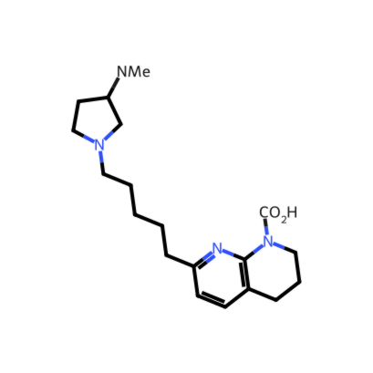 CNC1CCN(CCCCCc2ccc3c(n2)N(C(=O)O)CCC3)C1